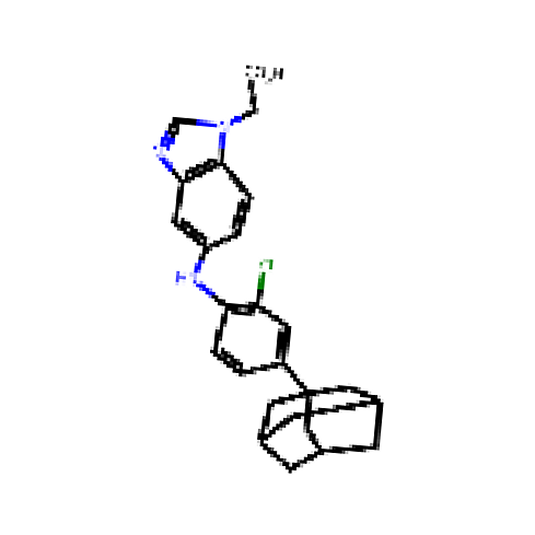 O=C(O)Cn1cnc2cc(Nc3ccc(C45CC6CC(CC(C6)C4)C5)cc3Cl)ccc21